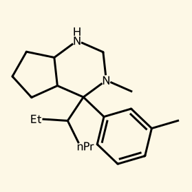 CCCC(CC)C1(c2cccc(C)c2)C2CCCC2NCN1C